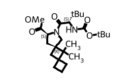 COC(=O)[C@@H]1C[C@]2(CN1C(=O)[C@@H](NC(=O)OC(C)(C)C)C(C)(C)C)CC1(CCC1)C2(C)C